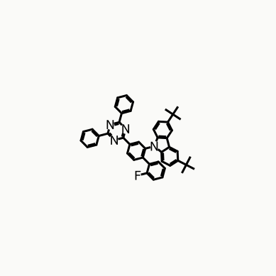 CC(C)(C)c1ccc2c(c1)c1cc(C(C)(C)C)ccc1n2-c1cc(-c2nc(-c3ccccc3)nc(-c3ccccc3)n2)ccc1-c1ccccc1F